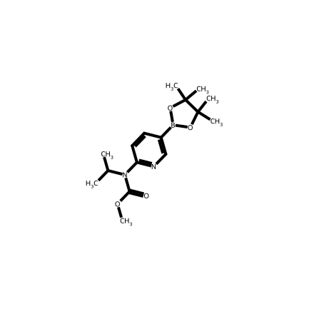 COC(=O)N(c1ccc(B2OC(C)(C)C(C)(C)O2)cn1)C(C)C